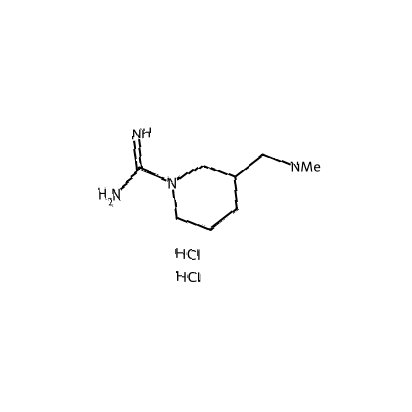 CNCC1CCCN(C(=N)N)C1.Cl.Cl